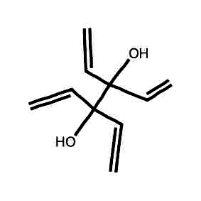 C=CC(O)(C=C)C(O)(C=C)C=C